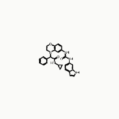 O=C(Nc1ccc2c(c1)N(C(C(=O)NC1CC1)c1ccccc1)CCO2)Nc1ccc2cc[nH]c2c1